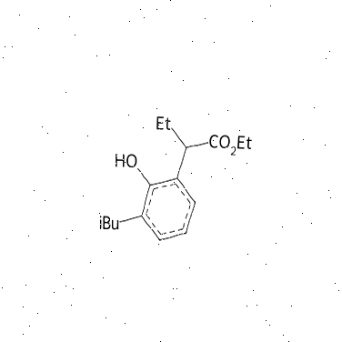 CCOC(=O)C(CC)c1cccc(C(C)CC)c1O